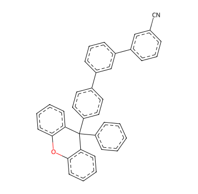 N#Cc1cccc(-c2cccc(-c3ccc(C4(c5ccccc5)c5ccccc5Oc5ccccc54)cc3)c2)c1